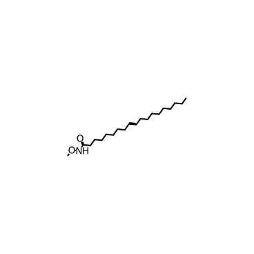 CCCCCCCCCC=CCCCCCCCC(=O)NOC